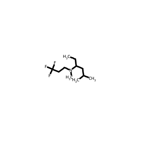 CCC(CC(C)C)N(C)CCC(F)(F)F